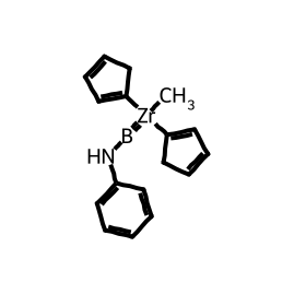 [CH3][Zr](=[B]Nc1ccccc1)([C]1=CC=CC1)[C]1=CC=CC1